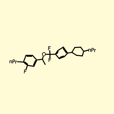 CCCc1ccc(C(C)OC(F)(F)c2ccc(C3CCC(CCC)CC3)cc2)cc1F